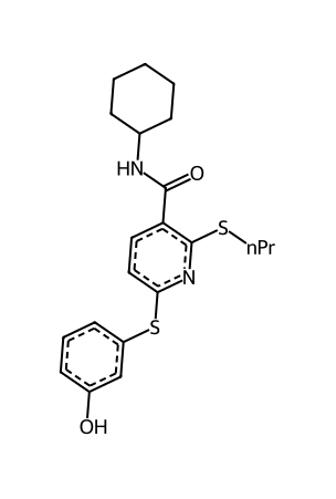 CCCSc1nc(Sc2cccc(O)c2)ccc1C(=O)NC1CCCCC1